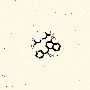 C=C(Cl)COCC(=C)Cl.Cc1ccc(C(O)c2cncnc2)c2ccccc12